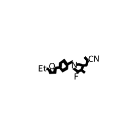 CCc1ccc(-c2ccc(CN3CC(F)C(C)C(CC(C)C#N)C3)cc2)o1